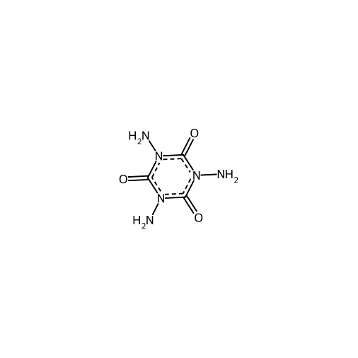 Nn1c(=O)n(N)c(=O)n(N)c1=O